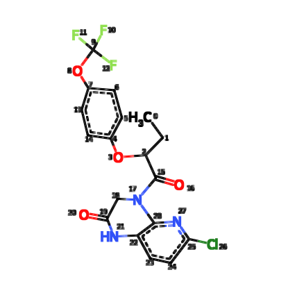 CCC(Oc1ccc(OC(F)(F)F)cc1)C(=O)N1CC(=O)Nc2ccc(Cl)nc21